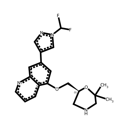 CC1(C)CNC[C@@H](COc2cc(-c3cnn(C(F)F)c3)cc3ncccc23)O1